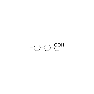 C=CC(OO)C1CCC(C2CCC(C)CC2)CC1